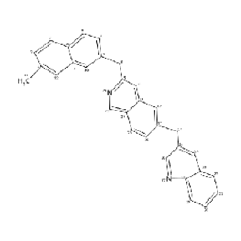 Cc1ccc2ccc(Cc3cc4cc(Cc5cnc6ccccc6c5)ccc4cn3)cc2c1